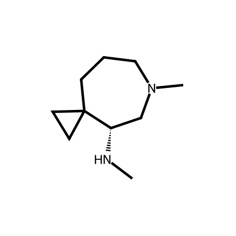 CN[C@H]1CN(C)CCCC12CC2